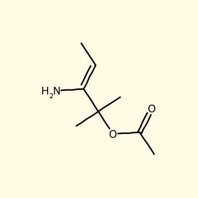 CC=C(N)C(C)(C)OC(C)=O